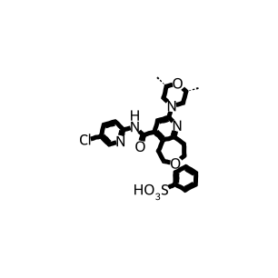 C[C@@H]1CN(c2cc(C(=O)Nc3ccc(Cl)cn3)c3c(n2)CCOCC3)C[C@H](C)O1.O=S(=O)(O)c1ccccc1